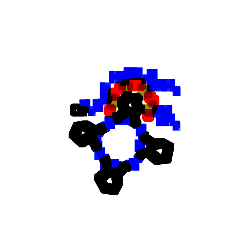 NNS(=O)(=O)c1c(S(=O)(=O)NN)c(S(=O)(=O)NN)c2c3nc4nc(nc5[nH]c(nc6nc(nc([nH]3)c2c1S(=O)(=O)NN)-c1ccccc1-6)c1ccccc51)-c1ccccc1-4.[Cu]